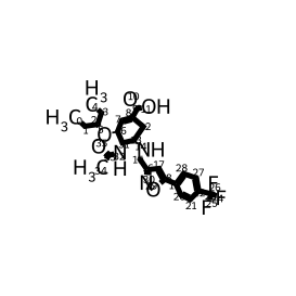 CCC(CC)O[C@@H]1C=C(C(=O)O)C[C@H](NCc2cc(-c3ccc(C(F)(F)F)cc3)on2)[C@H]1NC(C)=O